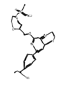 CC(O)c1ccc(-c2cc3nccnc3c(OCC3CN(S(C)(=O)=O)CCO3)n2)cc1